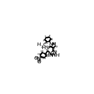 Cc1ccccc1-n1ncc(C2=NNNN2Cc2ccc([N+](=O)[O-])cc2)c1S